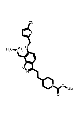 CN(C)Cc1c(OCc2ccc(C#N)s2)ccc2c(CCC3CCN(C(=O)OC(C)(C)C)CC3)noc12